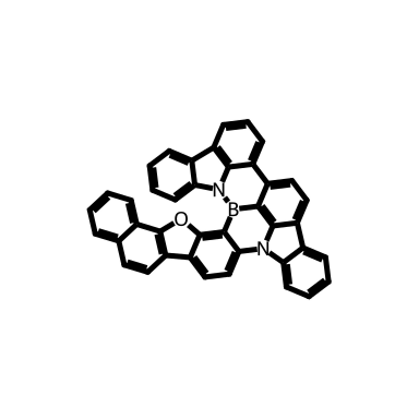 c1ccc2c(c1)ccc1c3ccc4c(c3oc21)B1c2c(ccc3c5ccccc5n-4c23)-c2cccc3c4ccccc4n1c23